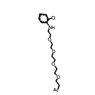 CC(=O)CCOCCOCCOCCOCCNc1ccccc1Cl